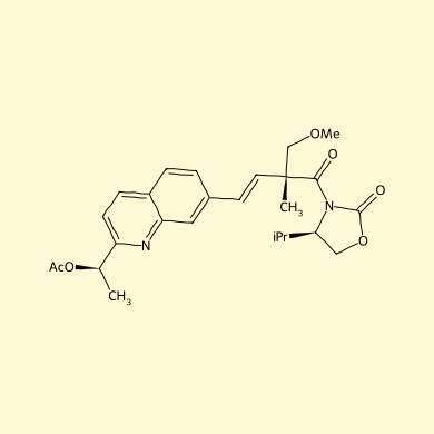 COC[C@@](C)(/C=C/c1ccc2ccc([C@@H](C)OC(C)=O)nc2c1)C(=O)N1C(=O)OC[C@H]1C(C)C